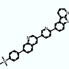 C[Si](C)(C)c1ccc(-c2ccc3cc(-c4ccc(-c5ccc6sc7ncccc7c6c5)nc4)cnc3c2)cc1